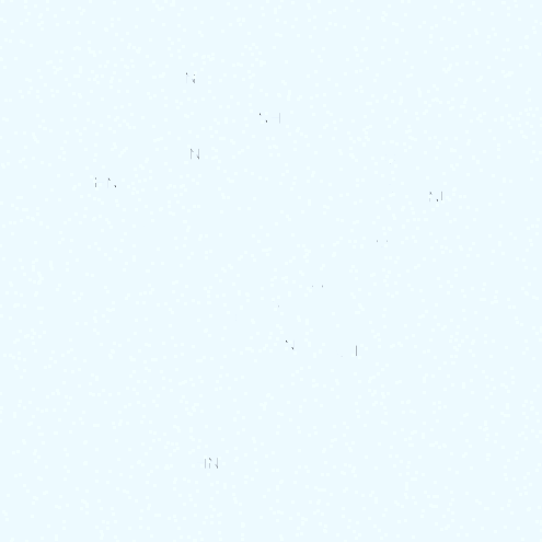 CN(C1CCNCC1)S(=O)(=O)C=C1C=C(Nc2nc(Nc3cccc(S(N)(=O)=O)c3)ncc2F)C=CC1